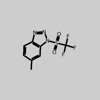 Cc1ccc2nnn(S(=O)(=O)C(F)(F)F)c2c1